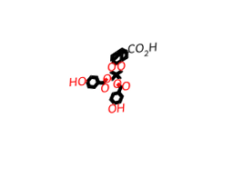 O=C(OCC1(COC(=O)C2CCC(O)CC2)COC2(OC1)C1CC3CC2CC(C(=O)O)(C3)C1)C1CCC(O)CC1